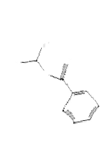 CC(C)C(OC(=O)c1ccccc1)C(C)C